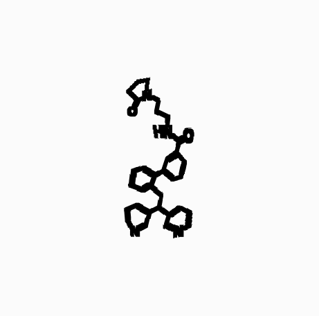 O=C(NCCCN1CCCC1=O)c1cccc(-c2ccccc2CC(c2cccnc2)c2cccnc2)c1